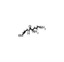 CC(C)(C)C#CCNC(=O)[C@@H](N)CCCN